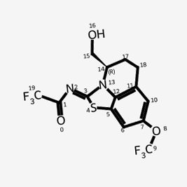 O=C(N=c1sc2cc(OC(F)(F)F)cc3c2n1[C@@H](CO)CC3)C(F)(F)F